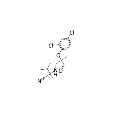 CC(C)C(C)(C#N)NCC(C)(C=O)Oc1ccc(Cl)cc1Cl